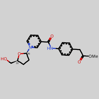 COC(=O)Cc1ccc(NC(=O)c2ccc[n+]([C@H]3CC[C@@H](CO)O3)c2)cc1